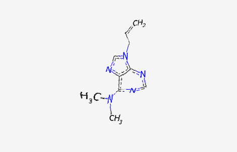 C=CCn1cnc2c(N(C)C)ncnc21